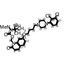 CNN(C(=O)OCn1c(=O)ccc2ccc(OCCCCN3CCN(c4cccc(Cl)c4Cl)CC3)cc21)C(C)(C)C(C)(C)C